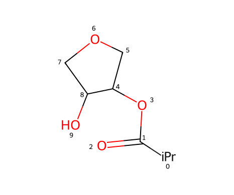 CC(C)C(=O)OC1COCC1O